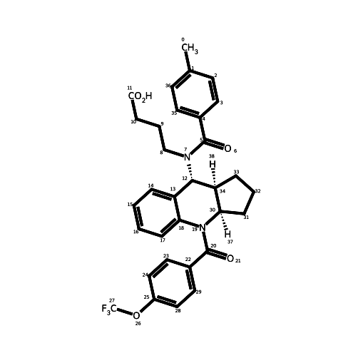 Cc1ccc(C(=O)N(CCCC(=O)O)[C@H]2c3ccccc3N(C(=O)c3ccc(OC(F)(F)F)cc3)[C@@H]3CCC[C@@H]32)cc1